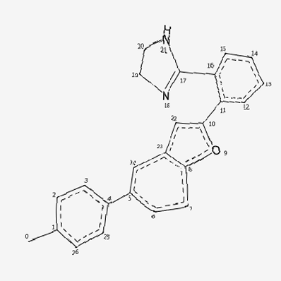 Cc1ccc(-c2ccc3oc(-c4ccccc4C4=NCCN4)cc3c2)cc1